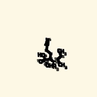 CC(CCC#N)P(=O)(O)O.CCCC